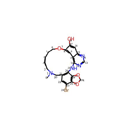 CN1CCCCCOc2cc3c(ncnc3cc2O)Nc2c(cc(Br)c3c2OCO3)C1